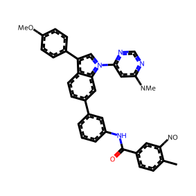 CNc1cc(-n2cc(-c3ccc(OC)cc3)c3ccc(-c4cccc(NC(=O)c5ccc(C)c(N=O)c5)c4)cc32)ncn1